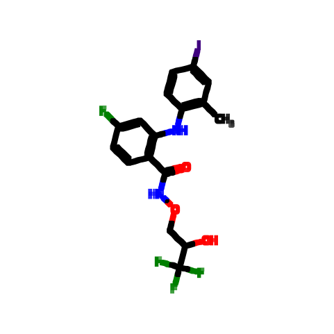 Cc1cc(I)ccc1Nc1cc(F)ccc1C(=O)NOCC(O)C(F)(F)F